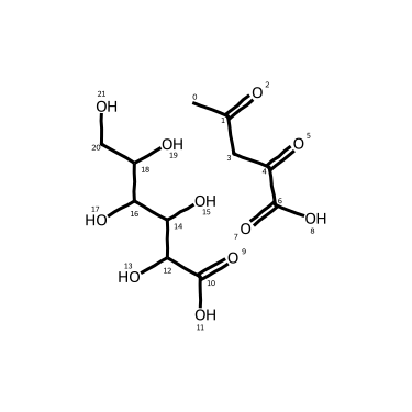 CC(=O)CC(=O)C(=O)O.O=C(O)C(O)C(O)C(O)C(O)CO